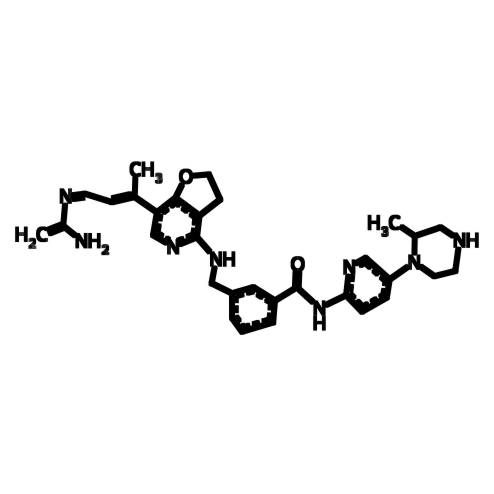 C=C(N)/N=C\C=C(/C)c1cnc(NCc2cccc(C(=O)Nc3ccc(N4CCNCC4C)cn3)c2)c2c1OCC2